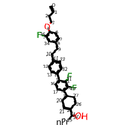 C=CCCOc1ccc(CCc2ccc(-c3ccc(C4CCC(C(O)CCC)CC4)c(F)c3F)cc2)cc1F